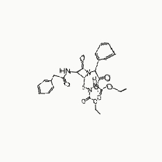 CCOC(=O)NN(SC1C(NC(=O)Cc2ccccc2)C(=O)N1C(C(=O)OC)c1ccccc1)C(=O)OCC